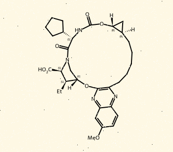 CC[C@@H]1[C@@H]2CN(C(=O)[C@H](C3CCCC3)NC(=O)O[C@@H]3C[C@H]3CCCCCc3nc4ccc(OC)cc4nc3O2)[C@@H]1C(=O)O